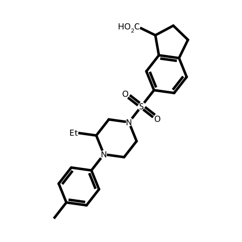 CCC1CN(S(=O)(=O)c2ccc3c(c2)C(C(=O)O)CC3)CCN1c1ccc(C)cc1